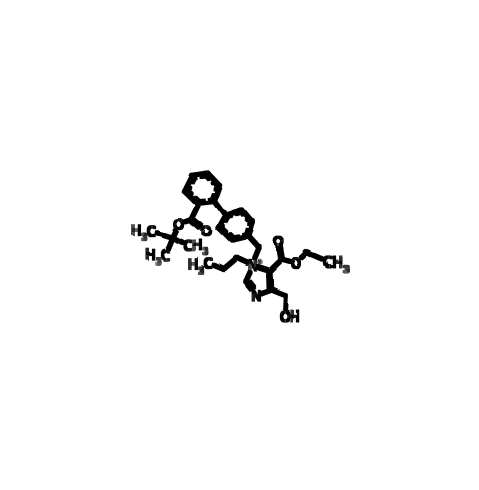 CCC[N+]1(Cc2ccc(-c3ccccc3C(=O)OC(C)(C)C)cc2)C=NC(CO)=C1C(=O)OCC